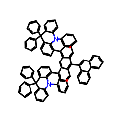 c1ccc(N2c3ccccc3C(c3ccccc3)(c3ccccc3)c3cccc(-c4cccc5c(-c6cc7ccccc7c7ccccc67)c6cccc(-c7cccc8c7N(c7ccccc7)c7ccccc7C8(c7ccccc7)c7ccccc7)c6cc45)c32)cc1